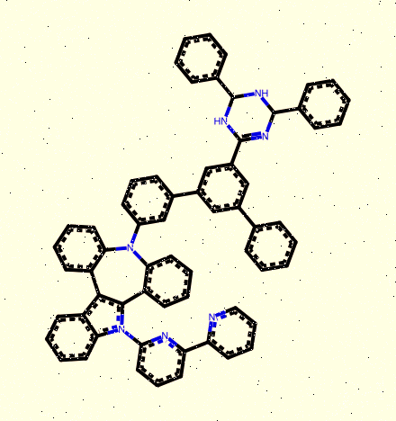 c1ccc(-c2cc(C3=NC(c4ccccc4)NC(c4ccccc4)N3)cc(-c3cccc(N4c5ccccc5-c5c(n(-c6cccc(-c7ccccn7)n6)c6ccccc56)-c5ccccc54)c3)c2)cc1